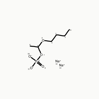 CCCCOC(C)OP(=O)([O-])[O-].[Na+].[Na+]